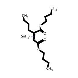 CCCCOC(=O)/C=C(/CCCC)C(=O)OCCCC.[SnH2]